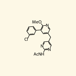 COc1ncc(Cc2cnc(NC(C)=O)nc2)cc1-c1cccc(Cl)c1